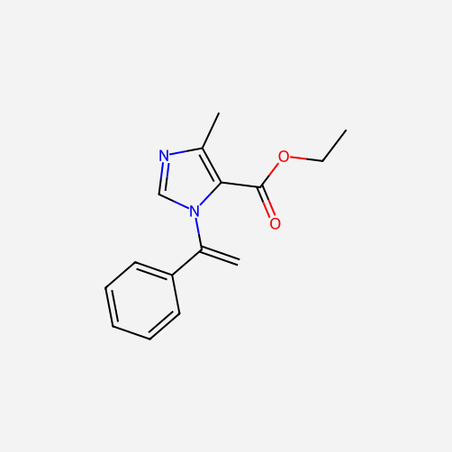 C=C(c1ccccc1)n1cnc(C)c1C(=O)OCC